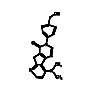 CN(C)c1ccnc2c1-c1ncn(-c3ccc(CO)cc3)c(=O)c1C2